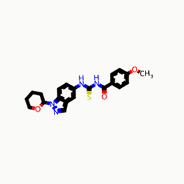 COc1ccc(C(=O)NC(=S)Nc2ccc3c(cnn3C3CCCCO3)c2)cc1